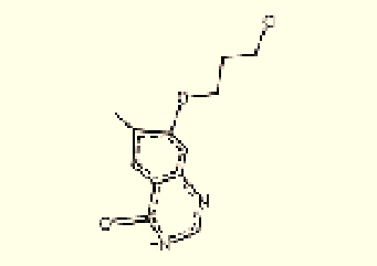 Cc1cc2c(=O)[nH]cnc2cc1OCCCCl